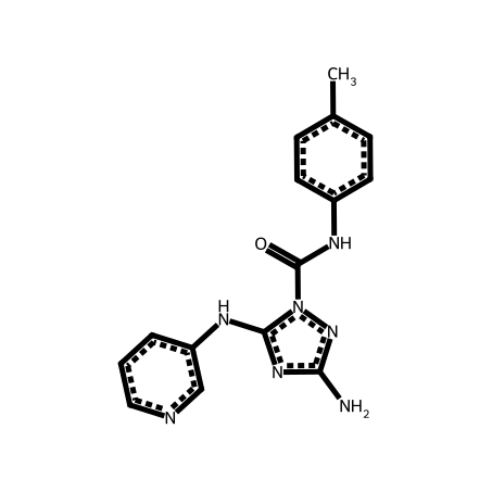 Cc1ccc(NC(=O)n2nc(N)nc2Nc2cccnc2)cc1